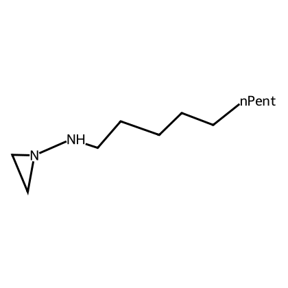 CCCCCCCCCCNN1CC1